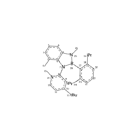 Cc1cccc2c1N(c1cc(C(C)(C)C)cc[n+]1C)B(c1c(C(C)C)cccc1C(C)C)N2C